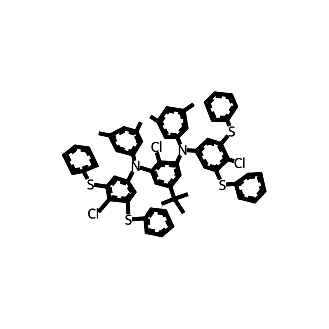 Cc1cc(C)cc(N(c2cc(Sc3ccccc3)c(Cl)c(Sc3ccccc3)c2)c2cc(C(C)(C)C)cc(N(c3cc(C)cc(C)c3)c3cc(Sc4ccccc4)c(Cl)c(Sc4ccccc4)c3)c2Cl)c1